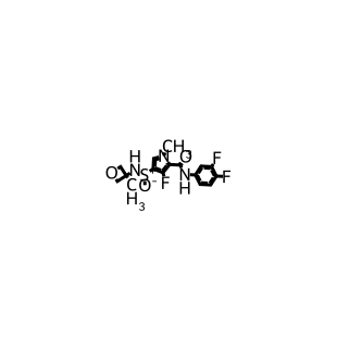 Cn1cc([S+]([O-])NC2(C)COC2)c(F)c1C(=O)Nc1ccc(F)c(F)c1